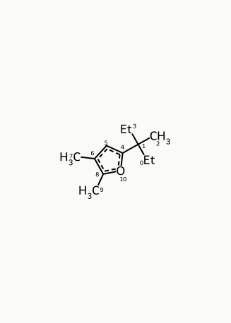 CCC(C)(CC)c1cc(C)c(C)o1